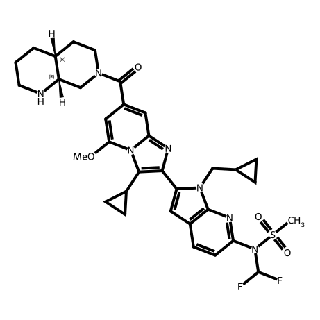 COc1cc(C(=O)N2CC[C@H]3CCCN[C@H]3C2)cc2nc(-c3cc4ccc(N(C(F)F)S(C)(=O)=O)nc4n3CC3CC3)c(C3CC3)n12